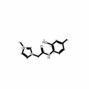 Cc1ccc(NC(=O)Cn2cc[n+](C)c2)c(O)c1